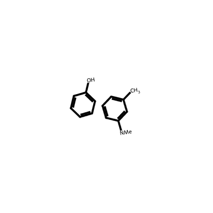 CNc1cccc(C)c1.Oc1ccccc1